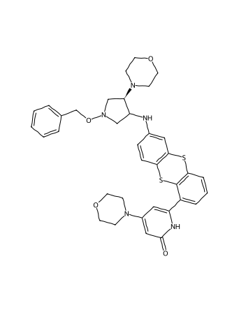 O=c1cc(N2CCOCC2)cc(-c2cccc3c2Sc2ccc(NC4CN(OCc5ccccc5)C[C@H]4N4CCOCC4)cc2S3)[nH]1